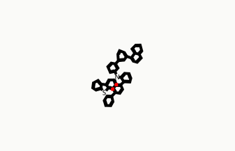 c1ccc(-c2ccc(-c3ccccc3N(c3cccc(-c4cccc(-c5cccc6ccccc56)c4)c3)c3ccc4sc5ccccc5c4c3)cc2)cc1